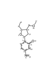 CCC1OC(n2ccc(N)nc2=O)CC1COC